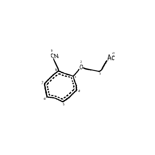 CC(=O)COc1ccccc1C#N